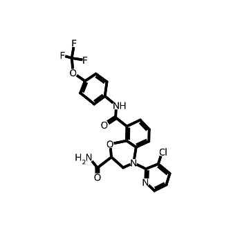 NC(=O)C1CN(c2ncccc2Cl)c2cccc(C(=O)Nc3ccc(OC(F)(F)F)cc3)c2O1